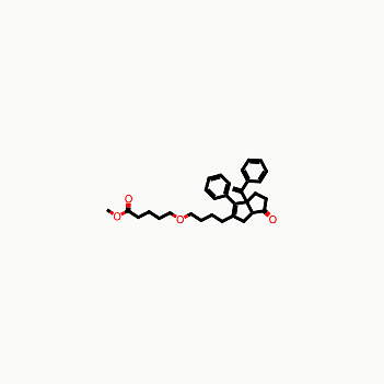 C=C(c1ccccc1)C12CCC(=O)C1CC(CCCCOCCCCC(=O)OC)=C2c1ccccc1